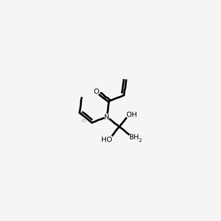 BC(O)(O)N(/C=C\C)C(=O)C=C